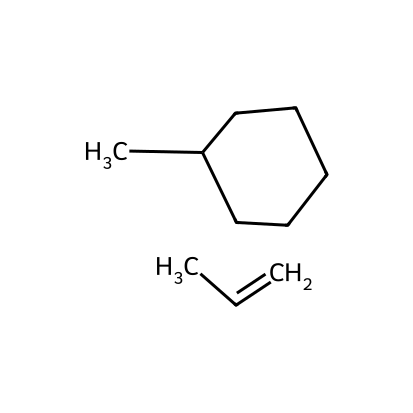 C=CC.CC1CCCCC1